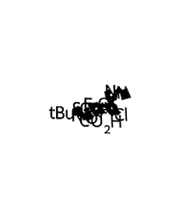 CC(C)(C)c1nc(N(C(=O)O)S(=O)(=O)c2cc(F)c(Oc3ccc(Cl)cc3-c3ccnc(CN4CCC4)c3)cc2F)cs1